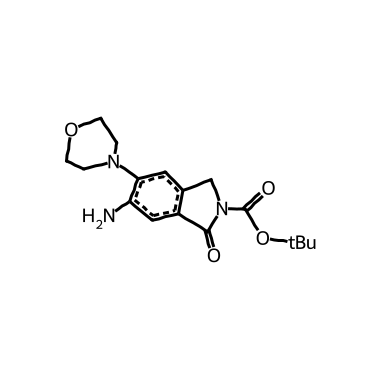 CC(C)(C)OC(=O)N1Cc2cc(N3CCOCC3)c(N)cc2C1=O